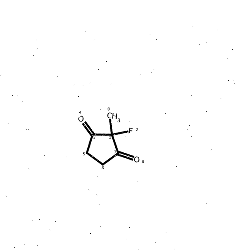 CC1(F)C(=O)CCC1=O